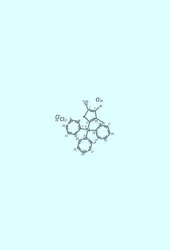 CC1=[C]([Ti+3])CC([Si](c2ccccc2)(c2ccccc2)c2ccccc2)=C1C.[Cl-].[Cl-].[Cl-]